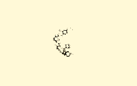 N#Cc1ccc(COc2cccc(N3CC4CN(Cc5nc6ccc(C(=O)O)cc6n5CC5CCOC5)CC4C3)n2)c(F)c1